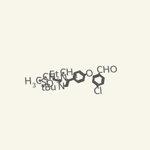 CCC(O[Si](C)(C)C(C)(C)C)c1ncc(-c2ccc(Oc3cc(Cl)ccc3C=O)cc2)n1C